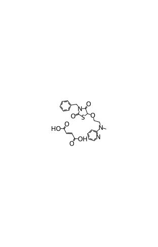 CN(CCOC1SC(=O)N(Cc2ccccc2)C1=O)c1ccccn1.O=C(O)C=CC(=O)O